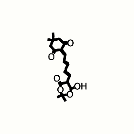 CC1(C)CC(=O)C(=CC=CC=CC2C(=O)OC(C)(C)OC2O)C(=O)C1